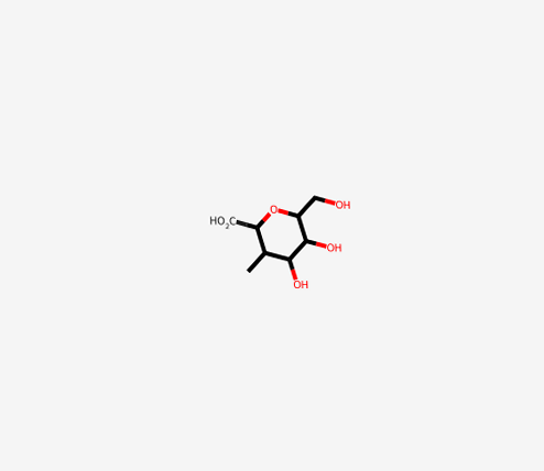 CC1C(C(=O)O)OC(CO)C(O)C1O